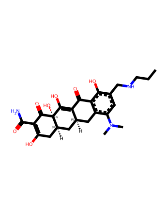 CCCNCc1cc(N(C)C)c2c(c1O)C(=O)C1=C(O)[C@]3(O)C(=O)C(C(N)=O)=C(O)C[C@@H]3C[C@@H]1C2